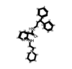 O=C(NCCC(c1ccccc1)c1ccccc1)c1cccnc1NCCN1CCCCC1